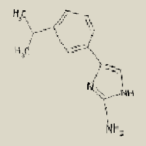 CC(C)c1cccc(-c2c[nH]c(N)n2)c1